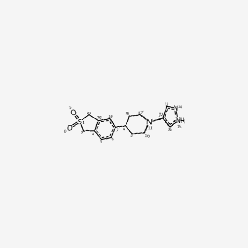 O=S1(=O)Cc2ccc(C3CCN(c4cn[nH]c4)CC3)cc2C1